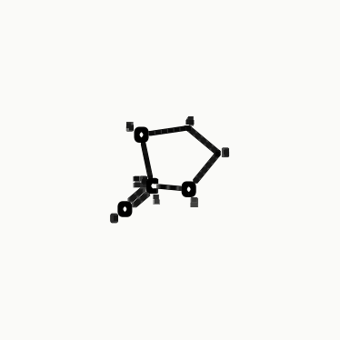 O=[13C]1OCCO1